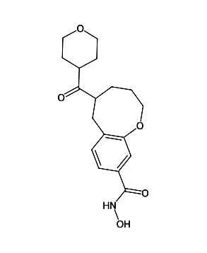 O=C(NO)c1ccc2c(c1)OCCCC(C(=O)C1CCOCC1)C2